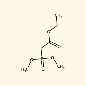 CCOC(=O)CP(=O)(OC)OC